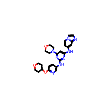 c1cn2ccc(Nc3cc(N4CCOCC4)nc(Nc4ccc(OC5CCOCC5)nc4)n3)cc2n1